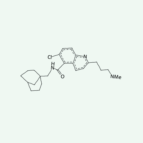 CNCCCc1ccc2c(C(=O)NCC34CCCC(CCC3)C4)c(Cl)ccc2n1